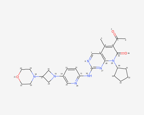 CC(=O)c1c(C)c2cnc(Nc3ccc(N4CC(N5CCOCC5)C4)cn3)nc2n(C2CCCC2)c1=O